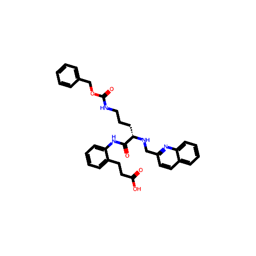 O=C(O)CCc1ccccc1NC(=O)[C@H](CCCNC(=O)OCc1ccccc1)NCc1ccc2ccccc2n1